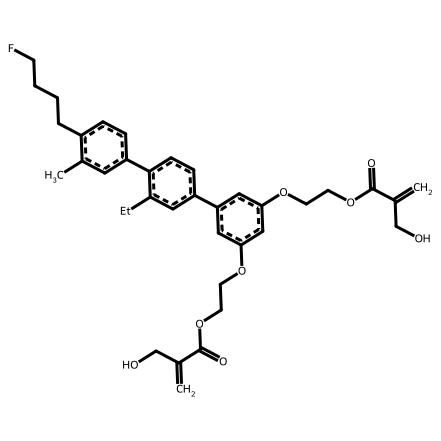 C=C(CO)C(=O)OCCOc1cc(OCCOC(=O)C(=C)CO)cc(-c2ccc(-c3ccc(CCCCF)c(C)c3)c(CC)c2)c1